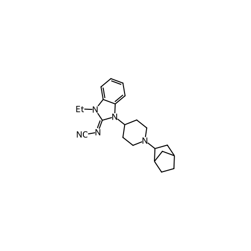 CCn1c(=NC#N)n(C2CCN(C3CC4CCC3C4)CC2)c2ccccc21